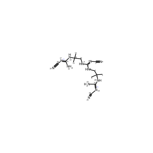 CC(C)(CNC(=NC#N)NCC(C)(C)N/C(N)=N/C#N)N/C(N)=N/C#N